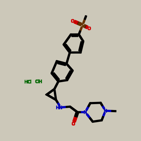 CN1CCN(C(=O)CNC2CC2c2ccc(-c3ccc(S(C)(=O)=O)cc3)cc2)CC1.Cl.Cl